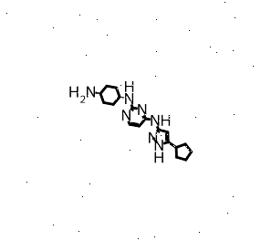 N[C@H]1CC[C@H](Nc2nccc(Nc3cc(C4CCCC4)[nH]n3)n2)CC1